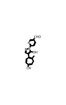 CC1=C(c2cnn(-c3ccc(C=O)cn3)c2O)C=CC(C#N)=CC1